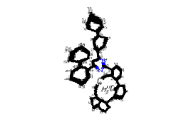 Cc1c2cccc1-c1cccc3cccc(c13)CCCCc1c(-c3nc(-c4ccc(-c5ccccc5)cc4)cc(-c4ccccc4-c4ccccc4)n3)cccc1-2